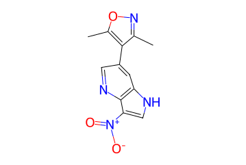 Cc1noc(C)c1-c1cnc2c([N+](=O)[O-])c[nH]c2c1